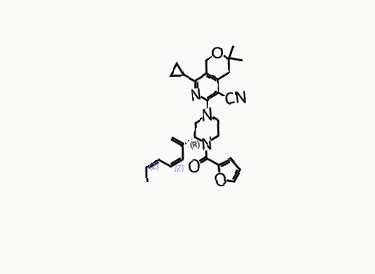 C=C(/C=C\C=C/C)[C@@H]1CN(c2nc(C3CC3)c3c(c2C#N)CC(C)(C)OC3)CCN1C(=O)c1ccco1